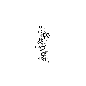 COCNC(=O)NC(C(=O)N[C@@H]1C(=O)N2C(C(=O)O)=C(CSc3ccc(C(C)(C)C)n[n+]3[O-])CSC12)c1cccs1